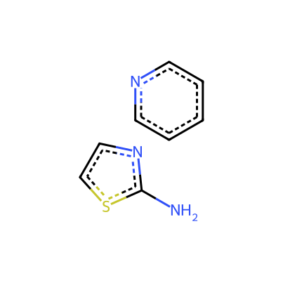 Nc1nccs1.c1ccncc1